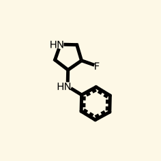 FC1CNCC1Nc1ccccc1